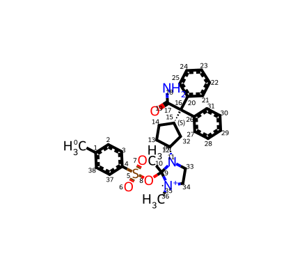 Cc1ccc(S(=O)(=O)OC2(C)N([C@@H]3CC[C@H](C(C(N)=O)(c4ccccc4)c4ccccc4)C3)CC[N+]2C)cc1